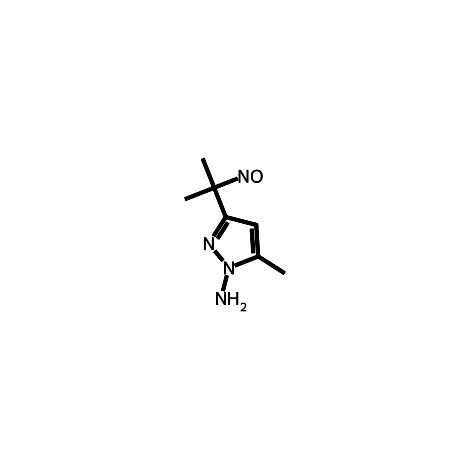 Cc1cc(C(C)(C)N=O)nn1N